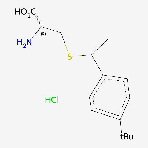 CC(SC[C@H](N)C(=O)O)c1ccc(C(C)(C)C)cc1.Cl